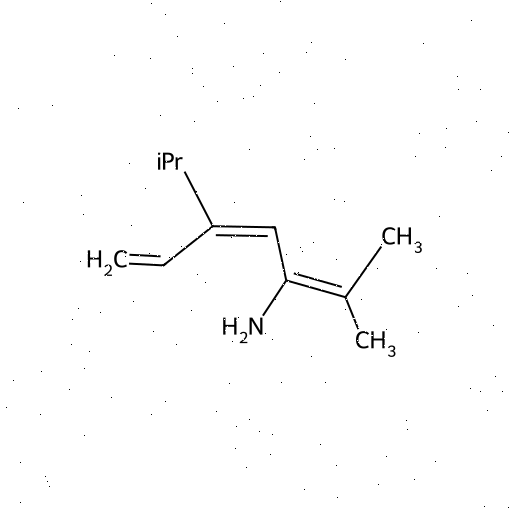 C=C/C(=C\C(N)=C(C)C)C(C)C